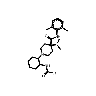 CCC(=O)NC1CCCCC1N1CCC(C(=O)Nc2c(C)cccc2C)(N(C)C)CC1